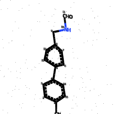 N#Cc1ccc(-c2ccc(CNC=O)cc2)cc1